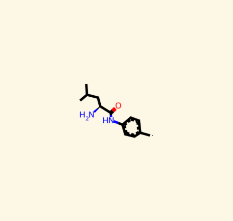 [CH2]c1ccc(NC(=O)[C@@H](N)CC(C)C)cc1